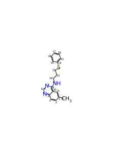 Cc1ccc2ncnc(NCCCSc3ccccc3)c2c1